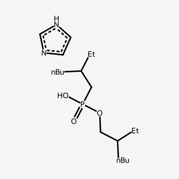 CCCCC(CC)COP(=O)(O)CC(CC)CCCC.c1c[nH]cn1